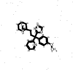 COc1ccc(C(CCC2CC3CCN2CC3)(c2ccccn2)c2nnco2)cc1